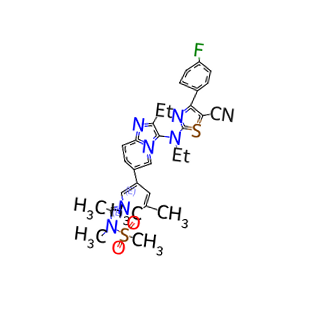 CCc1nc2ccc(/C(C=C(C)C)=C/N=C(\C)N(C)S(C)(=O)=O)cn2c1N(CC)c1nc(-c2ccc(F)cc2)c(C#N)s1